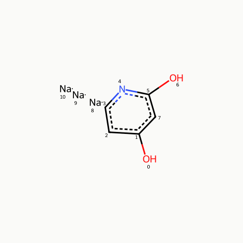 Oc1ccnc(O)c1.[Na].[Na].[Na]